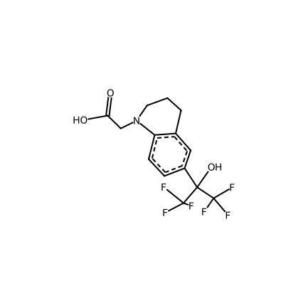 O=C(O)CN1CCCc2cc(C(O)(C(F)(F)F)C(F)(F)F)ccc21